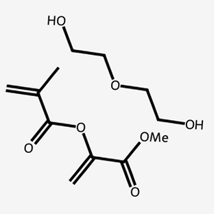 C=C(C)C(=O)OC(=C)C(=O)OC.OCCOCCO